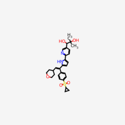 CC(C)(O)C(O)c1ccc(-c2ccc(C(=CC3CCOCC3)c3ccc(S(=O)(=O)C4CC4)cc3)[nH]2)nc1